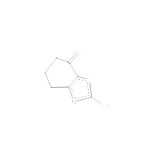 Cc1nc2c(o1)C(=O)CCC2